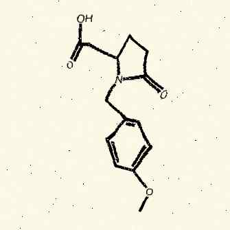 COc1ccc(CN2C(=O)CCC2C(=O)O)cc1